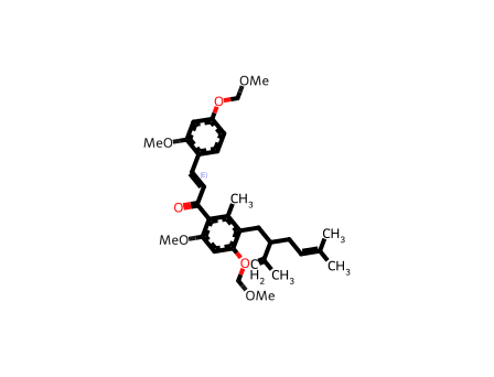 C=C(C)C(CC=C(C)C)Cc1c(OCOC)cc(OC)c(C(=O)/C=C/c2ccc(OCOC)cc2OC)c1C